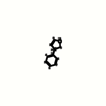 C1=CN(c2ccccc2)CO1